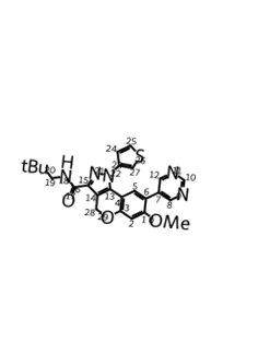 COc1cc2c(cc1-c1cncnc1)-c1c(c(C(=O)NCC(C)(C)C)nn1-c1ccsc1)CO2